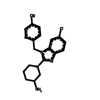 N#Cc1ccc(Cn2c(N3CCCC(N)C3)nc3ccc(Cl)cc32)nc1